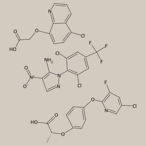 C[C@@H](Oc1ccc(Oc2ncc(Cl)cc2F)cc1)C(=O)O.Nc1c([N+](=O)[O-])cnn1-c1c(Cl)cc(C(F)(F)F)cc1Cl.O=C(O)COc1ccc(Cl)c2cccnc12